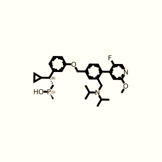 COc1cc(-c2ccc(COc3cccc([C@H](C[P@@](C)O)C4CC4)c3)cc2CN(C(C)C)C(C)C)c(F)cn1